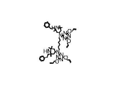 C=CCOc1nc(OCC=C)nc(N(CCCCCCN(c2nc(OCC=C)nc(OCC=C)n2)C2CC(C)(C)NC(C)(CCc3ccccc3)C2)C2CC(C)(C)NC(C)(CCc3ccccc3)C2)n1